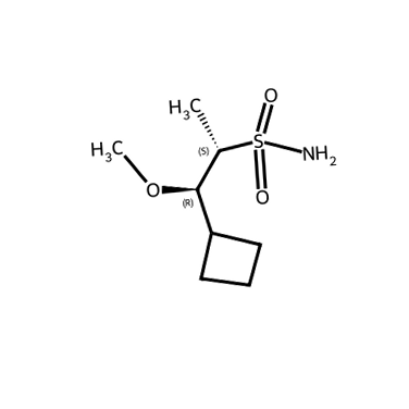 CO[C@H](C1CCC1)[C@H](C)S(N)(=O)=O